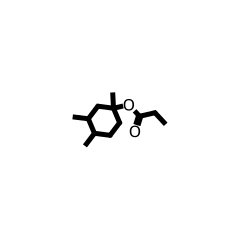 CCC(=O)OC1(C)CCC(C)C(C)C1